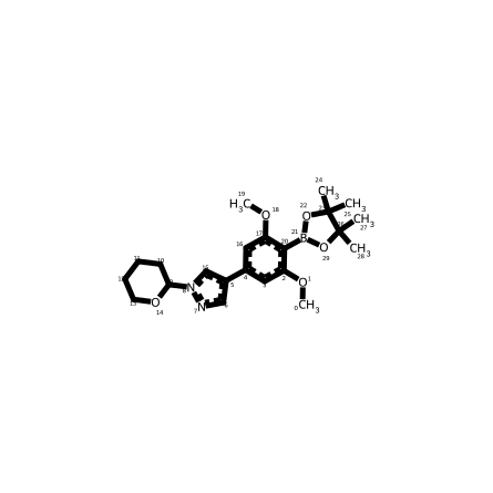 COc1cc(-c2cnn(C3CCCCO3)c2)cc(OC)c1B1OC(C)(C)C(C)(C)O1